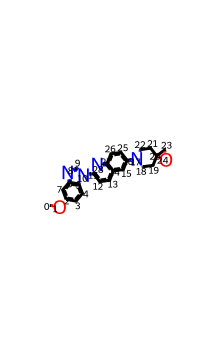 COc1ccc2c(c1)ncn2-c1ccc2cc(N3CCC4(CC3)CO4)ccc2n1